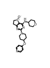 [O-][S+]1CCc2nc(N3CCC(Oc4ccncc4)CC3)nc(NC3CCOCC3)c21